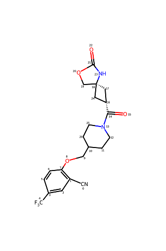 N#Cc1cc(C(F)(F)F)ccc1OCC1CCN(C(=O)[C@H]2C[C@@]3(COC(=O)N3)C2)CC1